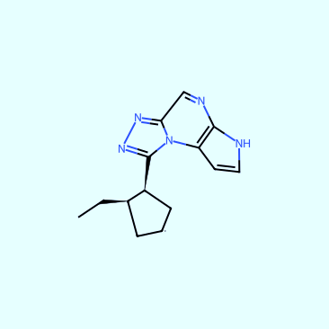 CC[C@@H]1C[CH]C[C@@H]1c1nnc2cnc3[nH]ccc3n12